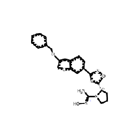 N/C(=N\O)N1CCC[C@H]1c1nc(-c2ccc3cc(OCc4ccccc4)ccc3c2)no1